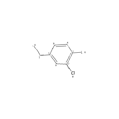 [CH2]Cc1ccc(I)c(Cl)c1